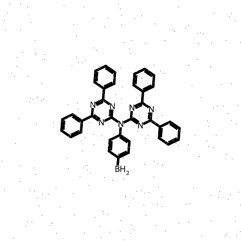 Bc1ccc(N(c2nc(-c3ccccc3)nc(-c3ccccc3)n2)c2nc(-c3ccccc3)nc(-c3ccccc3)n2)cc1